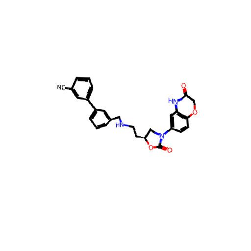 N#Cc1cccc(-c2cccc(CNCC[C@H]3CN(c4ccc5c(c4)NC(=O)CO5)C(=O)O3)c2)c1